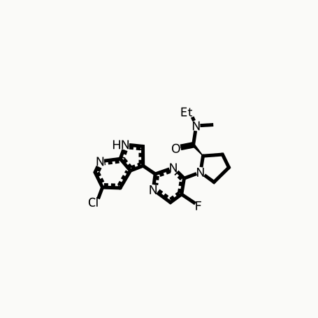 CCN(C)C(=O)[C@H]1CCCN1c1nc(-c2c[nH]c3ncc(Cl)cc23)ncc1F